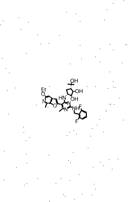 CCOc1cc2cc(-c3c(C)nc(NCc4c(F)cccc4F)nc3N[C@@H]3C[C@H](C(C)(C)O)[C@@H](O)[C@H]3O)oc2c(C)n1